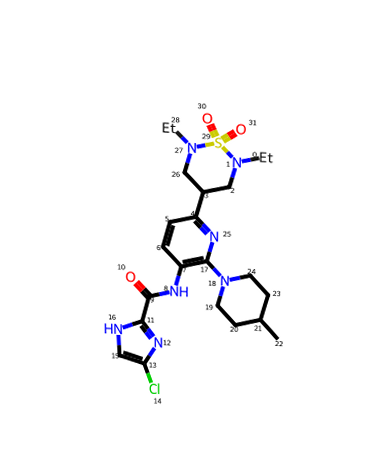 CCN1CC(c2ccc(NC(=O)c3nc(Cl)c[nH]3)c(N3CCC(C)CC3)n2)CN(CC)S1(=O)=O